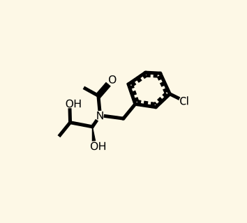 CC(=O)N(Cc1cccc(Cl)c1)[C@@H](O)C(C)O